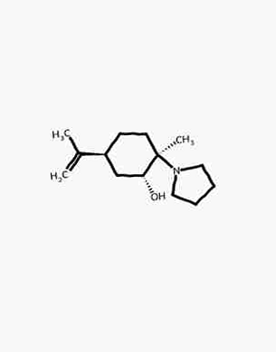 C=C(C)[C@H]1CC[C@@](C)(N2CCCC2)[C@H](O)C1